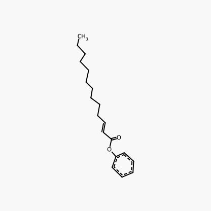 CCCCCCCCCCC=CC(=O)Oc1ccccc1